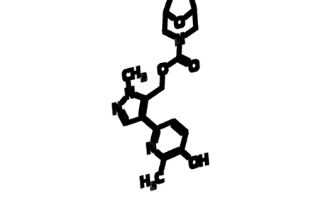 Cc1nc(-c2cnn(C)c2COC(=O)N2CC3CCC(C2)O3)ccc1O